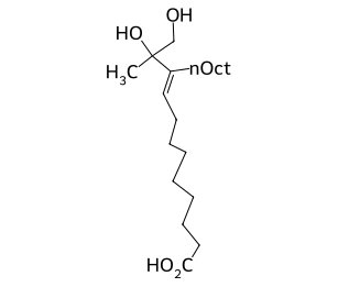 CCCCCCCC/C(=C\CCCCCCCC(=O)O)C(C)(O)CO